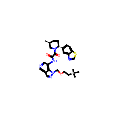 C[C@H]1CC[C@H](c2ccc3scnc3c2)N(C(=O)C(=O)Nc2cncc3cnn(COCC[Si](C)(C)C)c23)C1